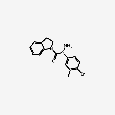 Cc1cc(N(N)C(=O)N2CCc3ccccc32)ccc1Br